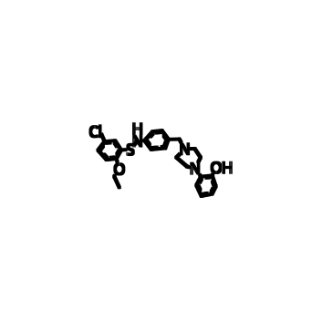 CCOc1ccc(Cl)cc1SNc1ccc(CN2CCN(c3ccccc3O)CC2)cc1